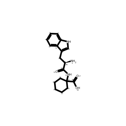 N[C@H](Cc1c[nH]c2ccccc12)C(=O)NC1(C(=O)O)CCCCC1